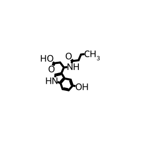 CCCC(=O)NC(CC(=O)O)c1c[nH]c2ccc(O)cc12